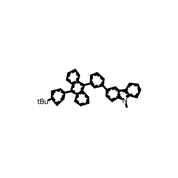 Cn1c2ccccc2c2cc(-c3cccc(-c4c5ccccc5c(-c5ccc(C(C)(C)C)cc5)c5ccccc45)c3)ccc21